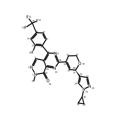 Cn1ncc2c(-c3ccc(C(F)(F)F)cc3F)nc(C3=C[C@H](c4cnn(C5CC5)c4)OCC3)nc2c1=O